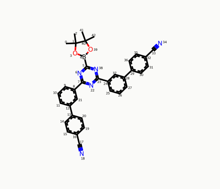 CC1(C)OB(c2nc(-c3cccc(-c4ccc(C#N)cc4)c3)nc(-c3cccc(-c4ccc(C#N)cc4)c3)n2)OC1(C)C